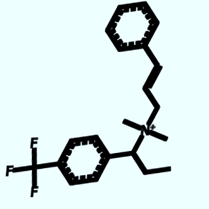 CCC(c1ccc(C(F)(F)F)cc1)[N+](C)(C)CC=Cc1ccccc1